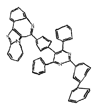 c1ccc(-c2cccc(-c3nc(-c4ccccc4)c(-c4ccc(-c5nc6ccccc6c6nc7ccccn7c56)cc4)c(-c4ccccc4)n3)c2)cc1